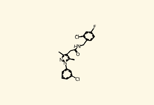 Cc1nn(-c2cccc(Cl)c2)c(C)c1CC(=O)NCc1ccc(F)cc1Cl